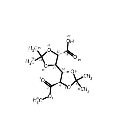 COC(=O)[C@@H]1OC(C)(C)O[C@H]1[C@H]1OC(C)(C)O[C@@H]1C(=O)O